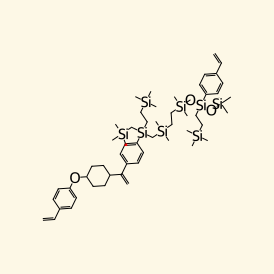 C=Cc1ccc(OC2CCC(C(=C)c3ccc([Si](CC[Si](C)(C)C)(C[Si](C)(C)C)C[Si](C)(C)CC[Si](C)(C)O[Si](CC[Si](C)(C)C)(O[Si](C)(C)C)c4ccc(C=C)cc4)cc3)CC2)cc1